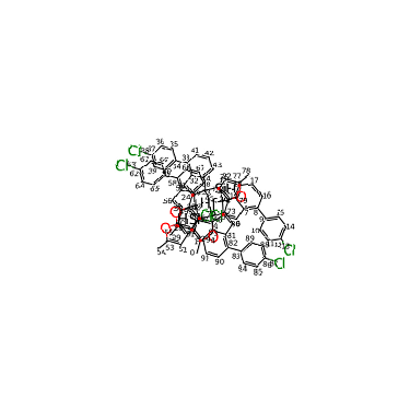 Cc1ccc(C2=Cc3c(-c4ccc(Cl)cc4)cccc3[C]23[SiH](C)[C]2(C(c4ccc(C)o4)=Cc4c(-c5ccc(Cl)cc5)cccc42)[Hf]32([Cl])([Cl])[C]3(C(c4ccc(C)o4)=Cc4c(-c5ccc(Cl)cc5)cccc43)[SiH](C)[C]23C(c2ccc(C)o2)=Cc2c(-c4ccc(Cl)cc4)cccc23)o1